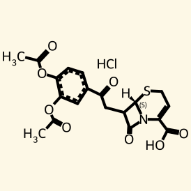 CC(=O)Oc1ccc(C(=O)CC2C(=O)N3C(C(=O)O)=CCS[C@@H]23)cc1OC(C)=O.Cl